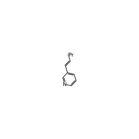 CC(C)/C=C/c1cccnc1